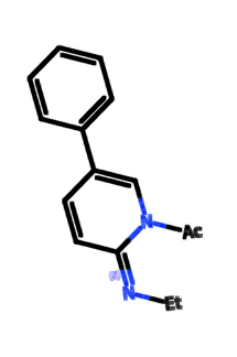 CC/N=c1/ccc(-c2ccccc2)cn1C(C)=O